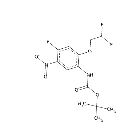 CC(C)(C)OC(=O)Nc1cc([N+](=O)[O-])c(F)cc1OCC(F)F